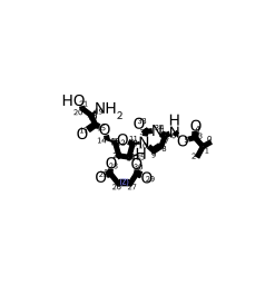 CC(C)C(=O)ONc1ccn([C@@H]2O[C@H](COC(=O)[C@H](N)CO)C3OC(=O)/C=C\C(=O)O[C@@H]32)c(=O)n1